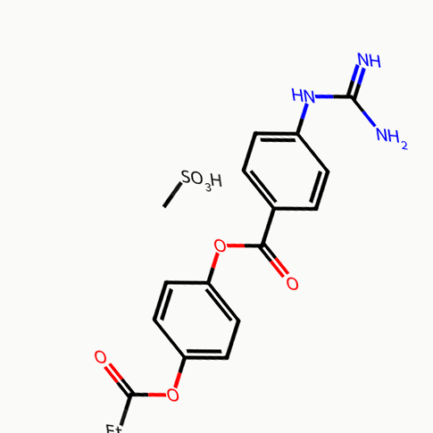 CCC(=O)Oc1ccc(OC(=O)c2ccc(NC(=N)N)cc2)cc1.CS(=O)(=O)O